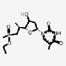 CCOP(C)(=O)C[C@@H](C)[C@H]1O[C@@H](n2cc(C)c(=O)[nH]c2=O)CC1O